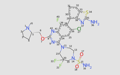 CN1CCC[C@H]1COc1nc(N2CCN(S(N)(=O)=O)CC(F)(F)C2)c2cc(Cl)c(-c3cccc4sc(N)nc34)c(F)c2n1